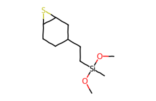 CO[Si](C)(CCC1CCC2SC2C1)OC